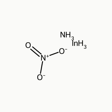 N.O=[N+]([O-])[O-].[InH3]